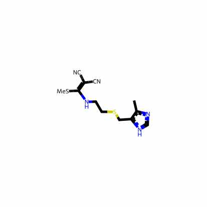 CSC(NCCSCc1[nH]cnc1C)=C(C#N)C#N